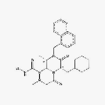 CCNC(=O)N1C2[C@H](C)N(Cc3cccc4ccccc34)C(=O)[C@H](CC3CCCCC3)N2C(=O)CN1C